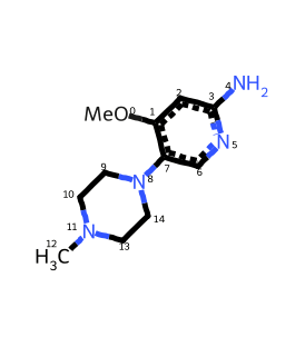 COc1cc(N)ncc1N1CCN(C)CC1